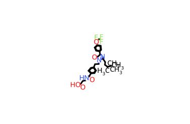 CC(CCC1N=C(c2ccc(OC(F)(F)F)cc2)C(=O)N1CCc1ccc(C(=O)NCCC(=O)O)cc1)C(C)(C)C